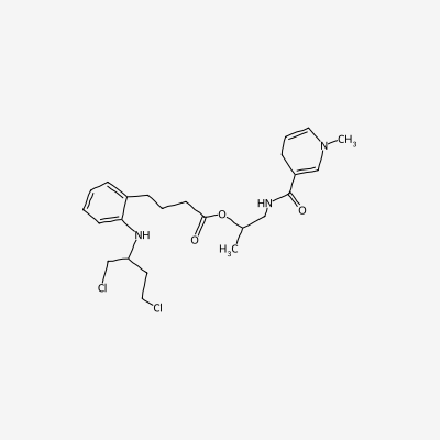 CC(CNC(=O)C1=CN(C)C=CC1)OC(=O)CCCc1ccccc1NC(CCl)CCCl